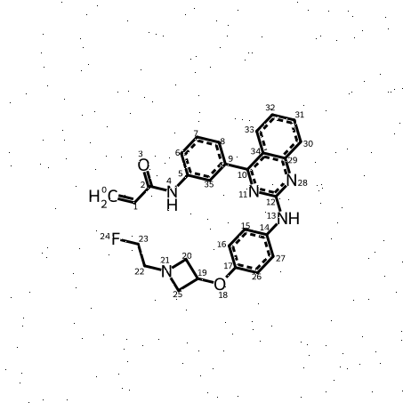 C=CC(=O)Nc1cccc(-c2nc(Nc3ccc(OC4CN(CCF)C4)cc3)nc3ccccc23)c1